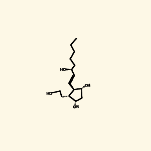 CCCCC[C@H](O)/C=C/[C@@H]1[C@@H](CCO)[C@@H](O)C[C@H]1O